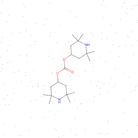 CC1(C)CC(OC(=O)OC2CC(C)(C)NC(C)(C)C2)CC(C)(C)N1